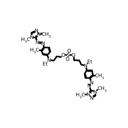 CCN(CCCOS(=O)(=O)OCCCN(CC)c1ccc(/N=N/c2n(C)cn[n+]2C)c(C)c1)c1ccc(/N=N/c2n(C)cn[n+]2C)c(C)c1